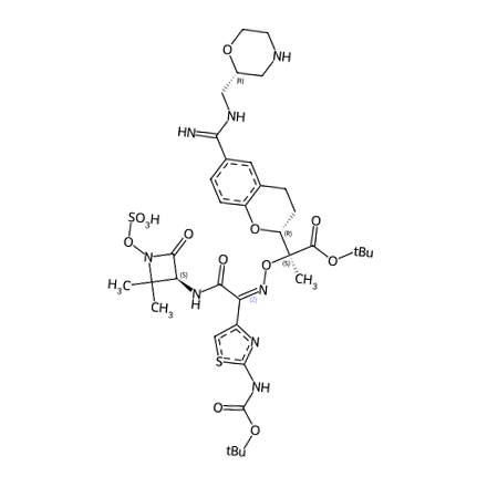 CC(C)(C)OC(=O)Nc1nc(/C(=N/O[C@](C)(C(=O)OC(C)(C)C)[C@H]2CCc3cc(C(=N)NC[C@H]4CNCCO4)ccc3O2)C(=O)N[C@@H]2C(=O)N(OS(=O)(=O)O)C2(C)C)cs1